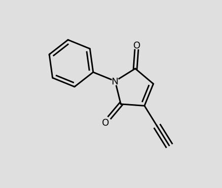 C#CC1=CC(=O)N(c2ccccc2)C1=O